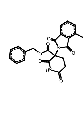 Cc1cccc2c1C(=O)N(C1(C(=O)OCc3ccccc3)CCC(=O)NC1=O)C2=O